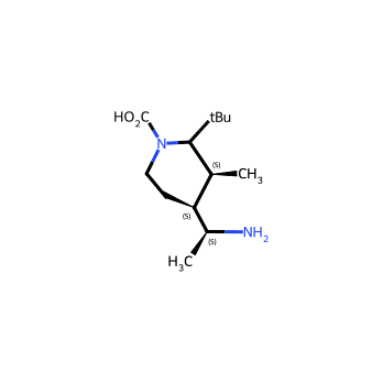 C[C@H](N)[C@H]1CCN(C(=O)O)C(C(C)(C)C)[C@H]1C